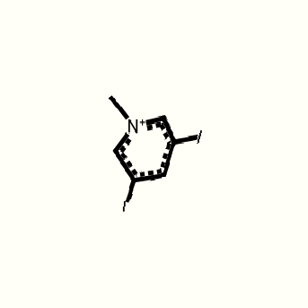 C[n+]1cc(I)cc(I)c1